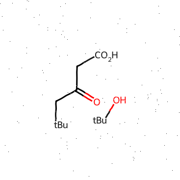 CC(C)(C)CC(=O)CC(=O)O.CC(C)(C)O